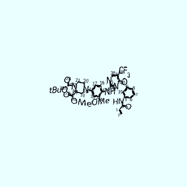 C=CC(=O)Nc1cccc(Oc2nc(Nc3ccc(N4CCN(C(=O)OC(C)(C)C)[C@H](C(=O)OC)C4)cc3OC)ncc2C(F)(F)F)c1